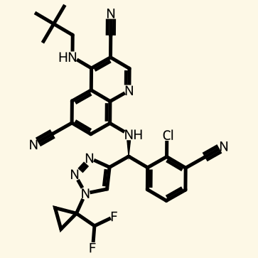 CC(C)(C)CNc1c(C#N)cnc2c(N[C@H](c3cn(C4(C(F)F)CC4)nn3)c3cccc(C#N)c3Cl)cc(C#N)cc12